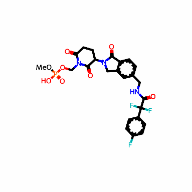 COP(=O)(O)OCN1C(=O)CCC(N2Cc3cc(CNC(=O)C(F)(F)c4ccc(F)cc4)ccc3C2=O)C1=O